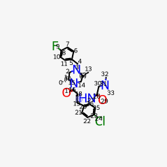 C[C@@H]1CN(Cc2ccc(F)cc2)[C@@H](C)CN1C(=O)/C=C/c1ccc(Cl)cc1NC(=O)CN(C)C